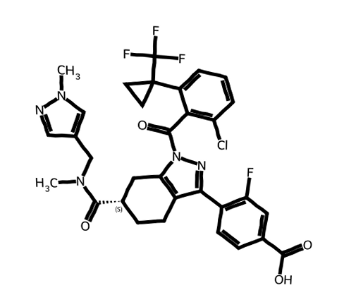 CN(Cc1cnn(C)c1)C(=O)[C@H]1CCc2c(-c3ccc(C(=O)O)cc3F)nn(C(=O)c3c(Cl)cccc3C3(C(F)(F)F)CC3)c2C1